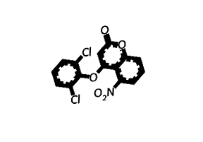 O=c1cc(Oc2c(Cl)cccc2Cl)c2c([N+](=O)[O-])cccc2o1